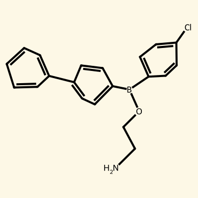 NCCOB(c1ccc(Cl)cc1)c1ccc(-c2ccccc2)cc1